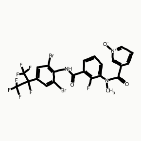 CN(C(=O)c1ccc[n+]([O-])c1)c1cccc(C(=O)Nc2c(Br)cc(C(F)(C(F)(F)F)C(F)(F)F)cc2Br)c1F